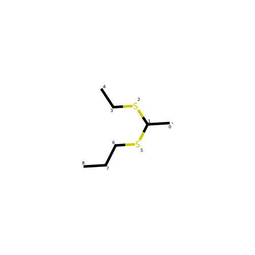 [CH2]C(SCC)SCCC